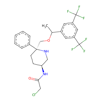 CC(OC[C@@]1(c2ccccc2)CC[C@H](NC(=O)CCl)CN1)c1cc(C(F)(F)F)cc(C(F)(F)F)c1